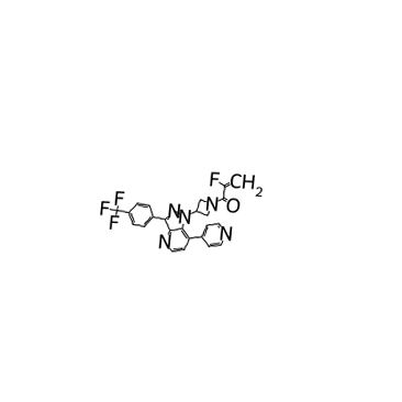 C=C(F)C(=O)N1CC(n2nc(-c3ccc(C(F)(F)F)cc3)c3nccc(-c4ccncc4)c32)C1